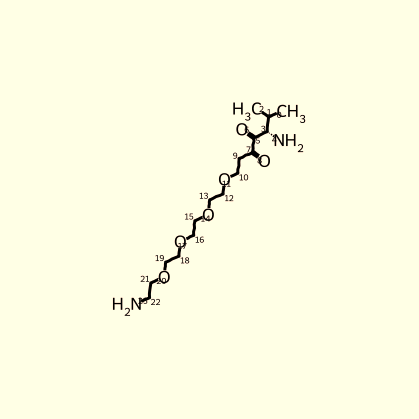 CC(C)[C@H](N)C(=O)C(=O)CCOCCOCCOCCOCCN